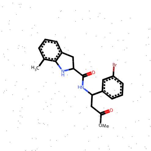 COC(=O)CC(NC(=O)C1Cc2cccc(C)c2N1)c1cccc(Br)c1